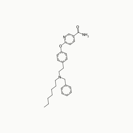 CCCCCCCN(CCc1ccc(Oc2ccc(C(N)=O)cn2)cc1)Cc1ccccc1